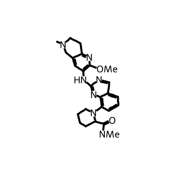 CNC(=O)C1CCCCN1c1cccc2cnc(Nc3cc4c(nc3OC)CCN(C)C4)nc12